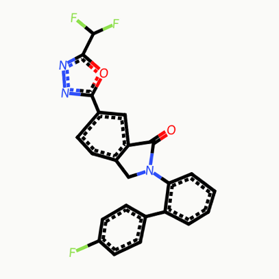 O=C1c2cc(-c3nnc(C(F)F)o3)ccc2CN1c1ccccc1-c1ccc(F)cc1